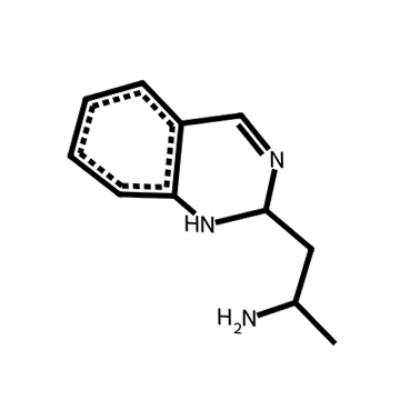 CC(N)CC1N=Cc2ccccc2N1